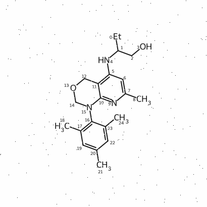 CCC(CO)Nc1cc(C)nc2c1COCN2c1c(C)cc(C)cc1C